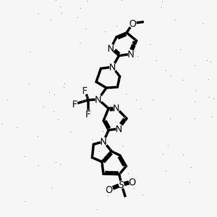 COc1cnc(N2CCC(N(c3cc(N4CCc5cc(S(C)(=O)=O)ccc54)ncn3)C(F)(F)F)CC2)nc1